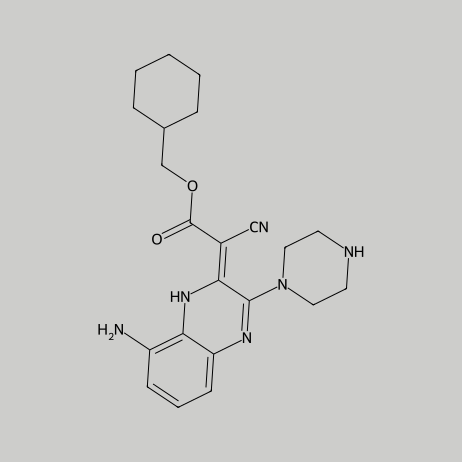 N#C/C(C(=O)OCC1CCCCC1)=C1/Nc2c(N)cccc2N=C1N1CCNCC1